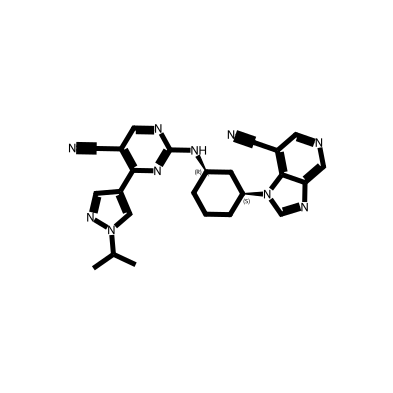 CC(C)n1cc(-c2nc(N[C@@H]3CCC[C@H](n4cnc5cncc(C#N)c54)C3)ncc2C#N)cn1